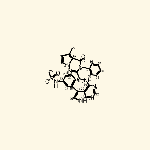 Cc1ccn2nc(C(C)Nc3ncnc4[nH]cc(-c5cccc(NS(C)(=O)=O)c5)c34)n(-c3ccccc3)c(=O)c12